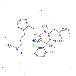 COC(=O)CC1=C(C(=O)O)C(C)(c2c(Cl)cccc2Cl)C(C(=O)O)=C(CCc2ccccc2CCCN(C)C)N1C